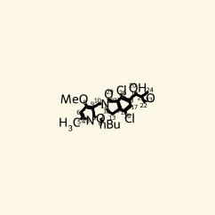 CCCCOc1nc(C)cc(OC)c1CN1CCc2c(Cl)cc(C(O)C3COC3)c(Cl)c2C1=O